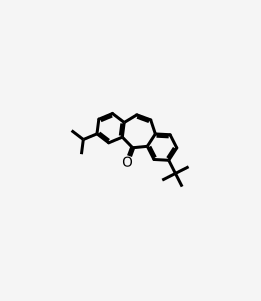 CC(C)c1ccc2ccc3ccc(C(C)(C)C)cc3c(=O)c2c1